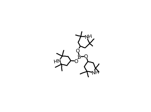 CC1(C)CC(OB(OC2CC(C)(C)NC(C)(C)C2)OC2CC(C)(C)NC(C)(C)C2)CC(C)(C)N1